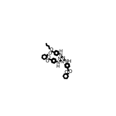 CCCCOC(=O)c1ccc(Nc2nc(Nc3ccc(C(=O)OC4(C)CCCCC4)cc3)nc(Nc3ccc(C(=O)OC4(C)CCCCC4)cc3)n2)cc1